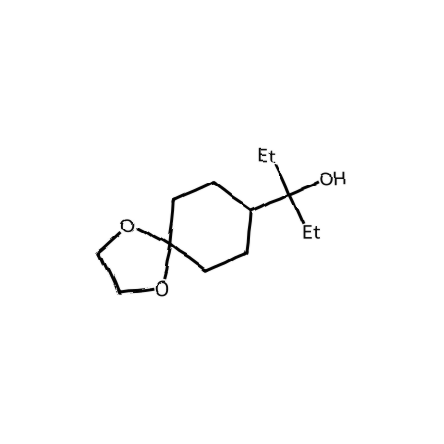 CCC(O)(CC)C1CCC2(CC1)OCCO2